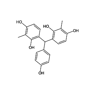 Cc1c(O)ccc(C(c2ccc(O)cc2)c2ccc(O)c(C)c2O)c1O